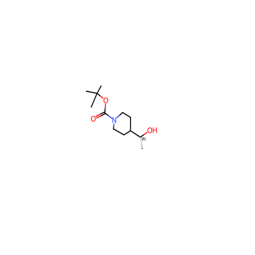 C[C@@H](O)C1CCN(C(=O)OC(C)(C)C)CC1